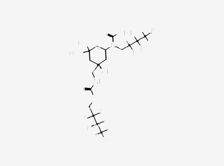 CC1(C)CC(N(CC(F)(F)C(F)(F)C(F)(F)F)C(=O)O)CC(C)(CNC(=O)OCC(F)(F)C(F)(F)C(F)(F)F)C1